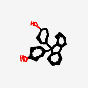 Oc1ccc(C2(C3=CC[C@H](O)C=C3)c3ccccc3-c3ccccc32)cc1